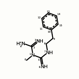 CN(C(=N)N)C(=N)NCCc1ccccc1